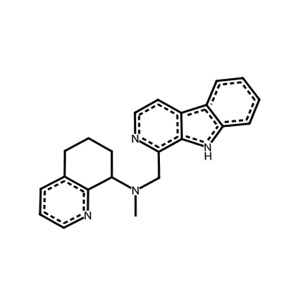 CN(Cc1nccc2c1[nH]c1ccccc12)C1CCCc2cccnc21